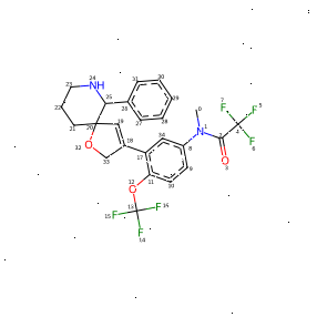 CN(C(=O)C(F)(F)F)c1ccc(OC(F)(F)F)c(C2=CC3(CCCNC3c3ccccc3)OC2)c1